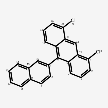 Clc1cccc2c(-c3ccc4ccccc4c3)c3cccc(Cl)c3cc12